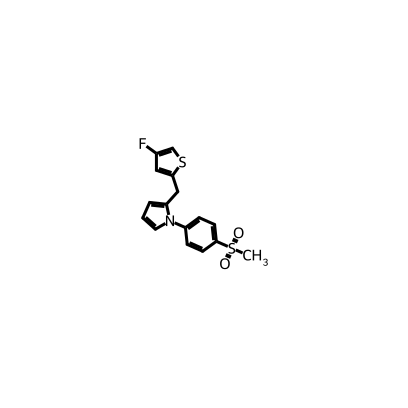 CS(=O)(=O)c1ccc(-n2cccc2Cc2cc(F)cs2)cc1